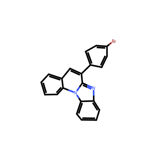 Brc1ccc(-c2cc3ccccc3n3c2nc2ccccc23)cc1